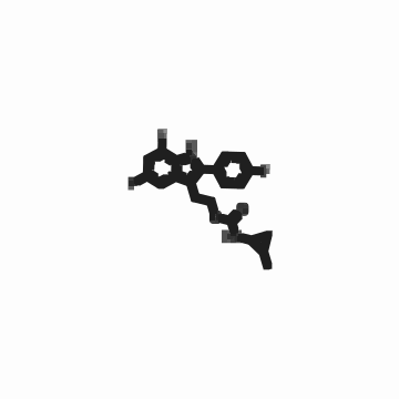 CC1CC1NC(=O)OCCc1c(-c2ccc(F)cc2)[nH]c2c(F)cc(F)cc12